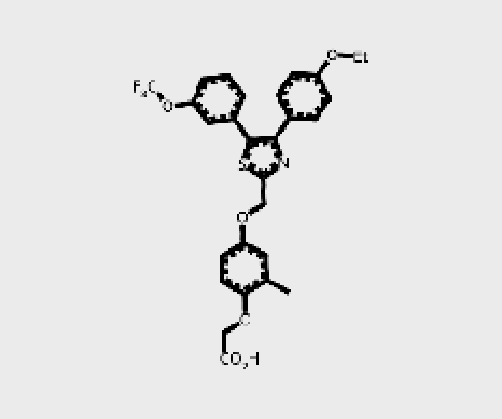 CCOc1ccc(-c2nc(COc3ccc(OCC(=O)O)c(C)c3)sc2-c2cccc(OC(F)(F)F)c2)cc1